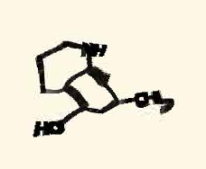 Cc1cc(O)c2c(c1)NCCC2